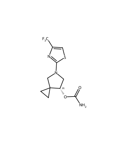 NC(=O)O[C@H]1CN(c2nc(C(F)(F)F)cs2)CC12CC2